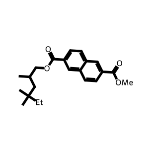 CCC(C)(C)CC(C)COC(=O)c1ccc2cc(C(=O)OC)ccc2c1